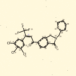 O=C(/C=C(\c1cc(Cl)c(Cl)c(Cl)c1)C(F)(F)F)c1ccc2c(c1)CN(Cc1ccccn1)C2=O